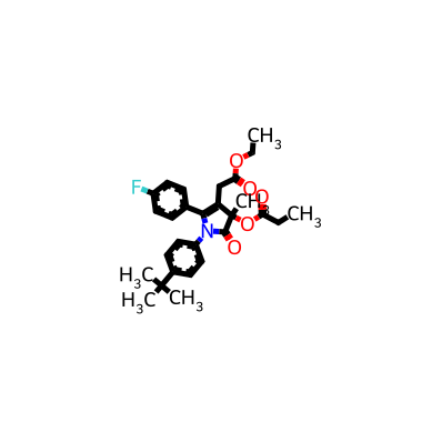 CCOC(=O)CC1=C(c2ccc(F)cc2)N(c2ccc(C(C)(C)C)cc2)C(=O)C1(C)OC(=O)CC